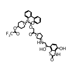 O=C(COC(=O)N(c1ccccc1-c1ccccc1)N1CCC(OC(=O)C(F)(F)F)CC1)N1CC[C@@H](NC[C@@H](O)c2ccc(O)c3[nH]c(=O)sc23)C1